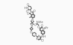 CNC(=O)COc1cc2cc(Nc3nc(N4CCC(OC5CC(N6CC7(CN(c8ccc9c(c8C)C(=O)N(C8CCC(=O)NC8=O)C9=O)C7)C6)C5)CC4)ncc3Cl)ccc2n(C(C)C)c1=O